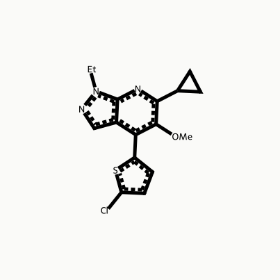 CCn1ncc2c(-c3ccc(Cl)s3)c(OC)c(C3CC3)nc21